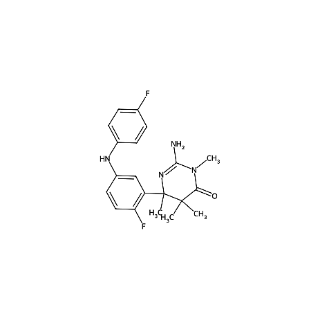 CN1C(=O)C(C)(C)C(C)(c2cc(Nc3ccc(F)cc3)ccc2F)N=C1N